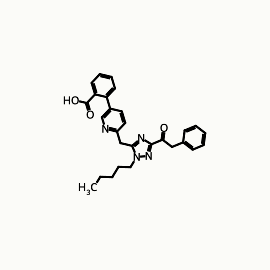 CCCCCn1nc(C(=O)Cc2ccccc2)nc1Cc1ccc(-c2ccccc2C(=O)O)cn1